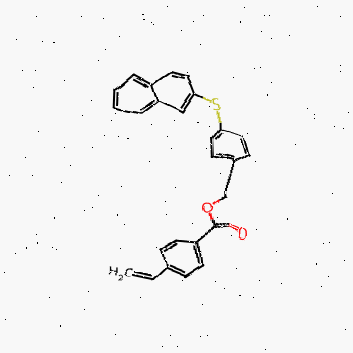 C=Cc1ccc(C(=O)OCc2ccc(Sc3ccc4ccccc4c3)cc2)cc1